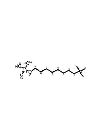 CC(C)(C)CCCCCCCCOP(=O)(O)O